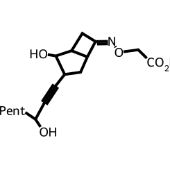 CCCCCC(O)C#CC1CC2C(=NOCC(=O)O)CC2C1O